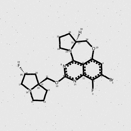 Fc1c(Br)cc2c3c(nc(OC[C@@]45CCCN4C[C@H](F)C5)nc13)N1CCC[C@H]1CO2